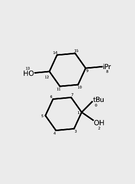 CC(C)(C)C1(O)CCCCC1.CC(C)C1CCC(O)CC1